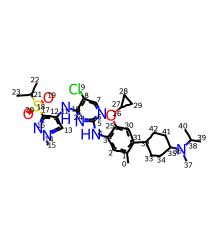 Cc1cc(Nc2ncc(Cl)c(Nc3cn(C)nc3S(=O)(=O)C(C)C)n2)c(OC2CC2)cc1C1CCC(N(C)C(C)C)CC1